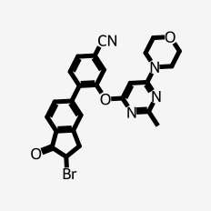 Cc1nc(Oc2cc(C#N)ccc2-c2ccc3c(c2)CC(Br)C3=O)cc(N2CCOCC2)n1